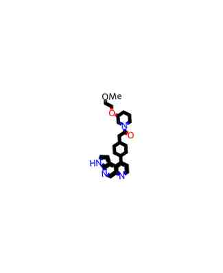 COCCOC1CCCN(C(=O)CC2CCC(c3ccnc4cnc5[nH]ccc5c34)CC2)C1